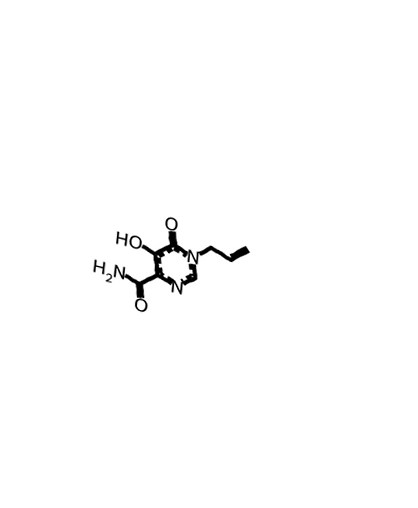 C=CCn1cnc(C(N)=O)c(O)c1=O